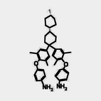 Cc1cc(C2(c3cc(C)c(Oc4ccc(N)cc4)c(C)c3)CCC([C@H]3CC[C@@H](C)CC3)CC2)cc(C)c1Oc1ccc(N)cc1